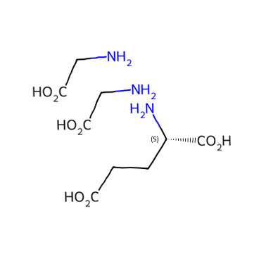 NCC(=O)O.NCC(=O)O.N[C@@H](CCC(=O)O)C(=O)O